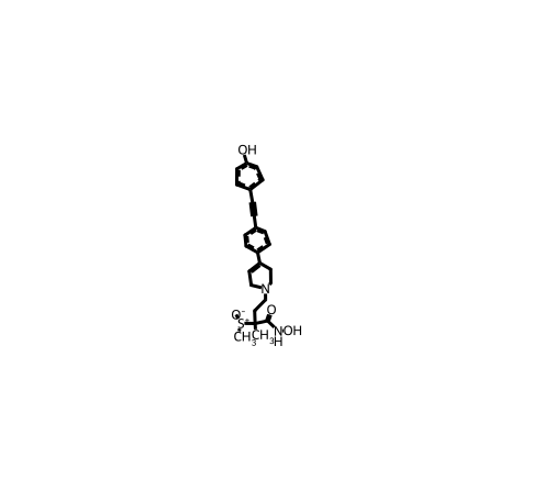 C[S+]([O-])C(C)(CCN1CC=C(c2ccc(C#Cc3ccc(O)cc3)cc2)CC1)C(=O)NO